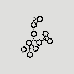 c1ccc(C2(c3ccccc3)c3ccccc3-c3c(N(c4ccc(-c5ccc6oc7ccccc7c6c5)cc4)c4cccc(-n5c6ccccc6c6ccccc65)c4)cccc32)cc1